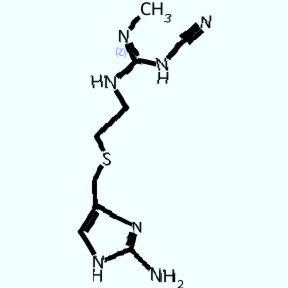 C/N=C(\NC#N)NCCSCc1c[nH]c(N)n1